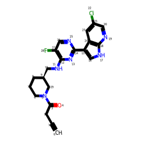 C#CCC(=O)N1CCC[C@@H](CNc2nc(-c3c[nH]c4ncc(Cl)cc34)ncc2F)C1